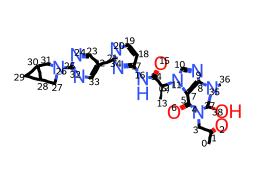 CC(=O)CN1C(=O)c2c(ncn2[C@@H](C)C(=O)Nc2ccnc(-c3cnc(N4CC5CC5C4)nc3)n2)N(C)C1O